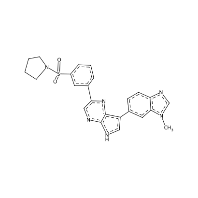 Cn1cnc2ccc(-c3c[nH]c4ncc(-c5cccc(S(=O)(=O)N6CCCC6)c5)nc34)cc21